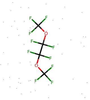 FC(F)(F)OC(F)(F)C(F)(F)OC(F)(F)F